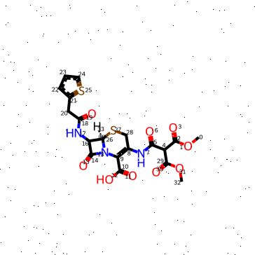 COC(=O)C(C(=O)NC1=C(C(=O)O)N2C(=O)C(NC(=O)Cc3cccs3)[C@H]2SC1)C(=O)OC